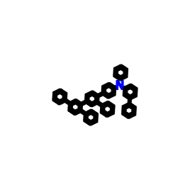 c1ccc(-c2cccc(N(c3ccccc3)c3ccc(-c4ccc(-c5cc(-c6ccccc6)ccc5-c5ccccc5)cc4-c4ccccc4)cc3)c2)cc1